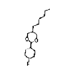 CCCCCC[C@H]1CO[C@H]([C@H]2CC[C@H](F)CC2)OC1